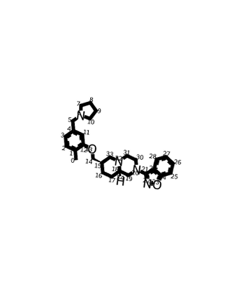 Cc1ccc(CN2CCCC2)cc1OC[C@@H]1CC[C@H]2CN(c3noc4ccccc34)CCN2C1